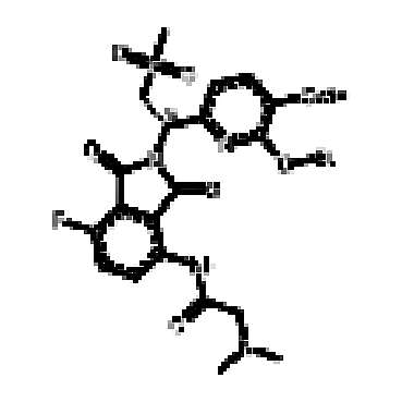 CCOc1nc([C@@H](CS(C)(=O)=O)N2C(=O)c3c(F)ccc(NC(=O)CN(C)C)c3C2=O)ccc1OC